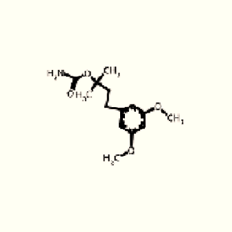 COc1cc(CCC(C)(C)OC(N)=O)cc(OC)c1